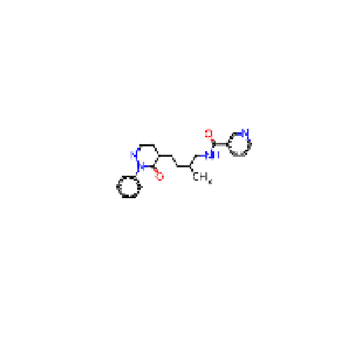 CC(CCC1CC=NN(c2ccccc2)C1=O)CNC(=O)c1cccnc1